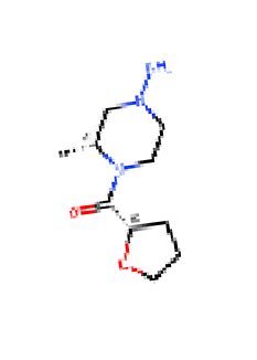 C[C@@H]1CN(N)CCN1C(=O)[C@@H]1CCCO1